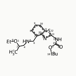 CCOC(C)CNCc1cccc2sc(NC(=O)OC(C)(C)C)nc12